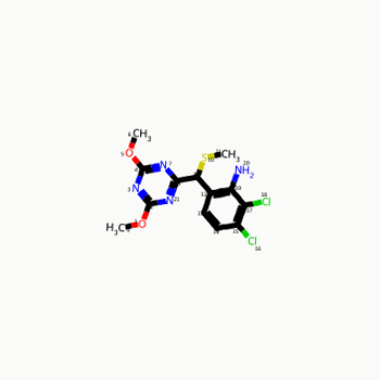 COc1nc(OC)nc(C(SC)c2ccc(Cl)c(Cl)c2N)n1